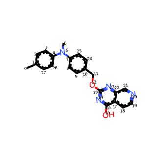 Cc1ccc(N(C)c2ccc(COc3nc(O)c4ccncc4n3)cc2)cc1